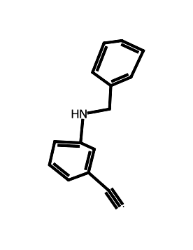 [C]#Cc1cccc(NCc2ccccc2)c1